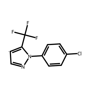 FC(F)(F)c1[c]cnn1-c1ccc(Cl)cc1